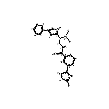 Cc1nc(-c2cccc(C(=O)NCC(c3nc(-c4ccccc4)cs3)N(C)C)c2)no1